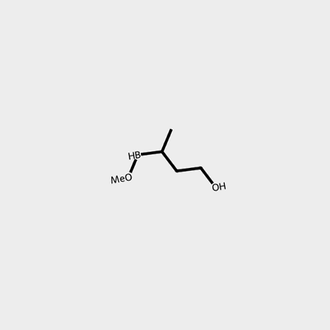 COBC(C)CCO